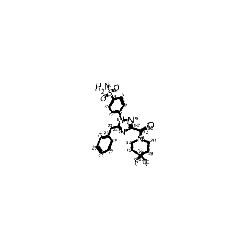 NS(=O)(=O)c1ccc(-n2nc(C(=O)N3CCC(F)(F)CC3)nc2Cc2ccccc2)cc1